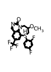 COC1Cn2c(=O)ncc3cc(C(F)(F)F)cc(c32)[SH](c2ccc(F)cc2F)C1